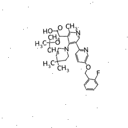 Cc1ncc(-c2ccc(OCc3ccccc3F)cn2)c(N2CCC(C)(C)CC2)c1[C@H](OC(C)(C)C)C(=O)O